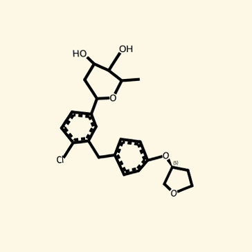 CC1OC(c2ccc(Cl)c(Cc3ccc(O[C@H]4CCOC4)cc3)c2)CC(O)C1O